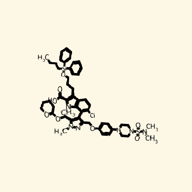 CCCC[Si](OCCCc1c(C(=O)O)n(C)c2c(-c3c(COc4ccc(N5CCN(S(=O)(=O)N(C)C)CC5)cc4)nn(C)c3COC3CCCCO3)c(Cl)ccc12)(c1ccccc1)c1ccccc1